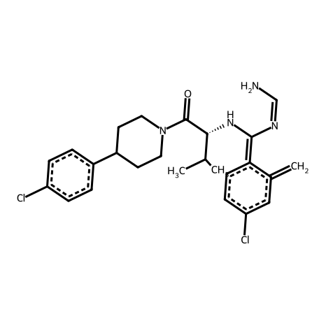 C=c1cc(Cl)cc/c1=C(/N=C\N)N[C@@H](C(=O)N1CCC(c2ccc(Cl)cc2)CC1)C(C)C